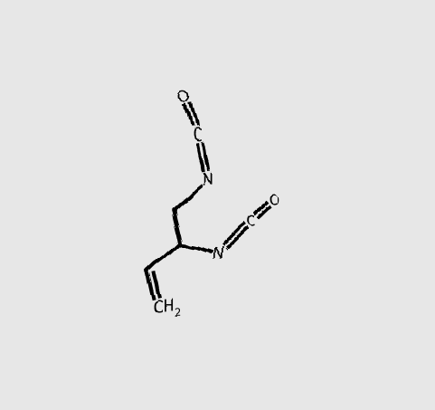 C=CC(CN=C=O)N=C=O